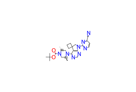 C[C@@H]1CN(c2ncnc3c2C2(CCC2)CN3c2nccc(C#N)n2)[C@@H](C)CN1C(=O)OC(C)(C)C